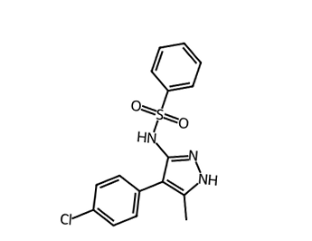 Cc1[nH]nc(NS(=O)(=O)c2ccccc2)c1-c1ccc(Cl)cc1